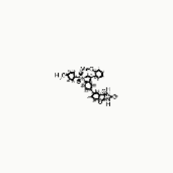 COc1ccccc1-c1cn(S(=O)(=O)c2ccc(C)cc2)c2ncc(-c3cccc(C4(C)NC(=O)NC4=O)c3)cc12